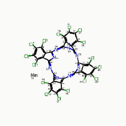 Clc1c(Cl)c(Cl)c2c(c1Cl)-c1nc-2nc2[nH]c(nc3nc(nc4[nH]c(n1)c1c(Cl)c(Cl)c(Cl)c(Cl)c41)-c1c(Cl)c(Cl)c(Cl)c(Cl)c1-3)c1c(Cl)c(Cl)c(Cl)c(Cl)c21.[Mn]